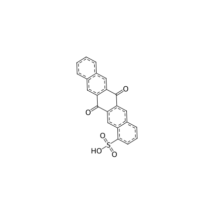 O=C1c2cc3ccccc3cc2C(=O)c2cc3c(S(=O)(=O)O)cccc3cc21